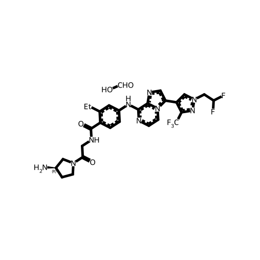 CCc1cc(Nc2nccn3c(-c4cn(CC(F)F)nc4C(F)(F)F)cnc23)ccc1C(=O)NCC(=O)N1CC[C@@H](N)C1.O=CO